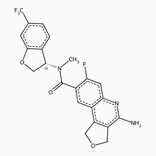 CN(C(=O)c1cc2c3c(c(N)nc2cc1F)COC3)[C@@H]1COc2cc(C(F)(F)F)ccc21